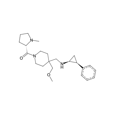 COCC1(CN[C@H]2C[C@H]2c2ccccc2)CCN(C(=O)[C@@H]2CCCN2C)CC1